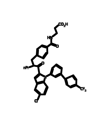 CCCC(Cc1ccc(C(=O)NCCC(=O)O)cc1)C(=O)c1cc2cc(Cl)ccc2n1-c1cccc(-c2ccc(C(F)(F)F)cc2)c1